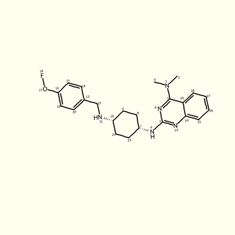 CN(C)c1nc(N[C@H]2CC[C@@H](NCc3ccc(OF)cc3)CC2)nc2ccccc12